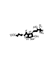 CCCCC(C)(F)[C@H](O)/C=C/[C@@H]1[C@H]2C(F)[C@@H](/C=C/CCC(=O)[O-])O[C@@H]2C[C@H]1O.[Na+]